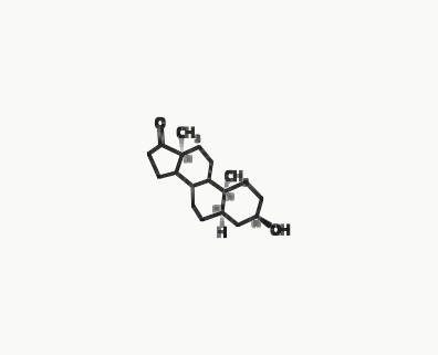 C[C@]12CCC3C(CC[C@@H]4C[C@H](O)CC[C@]34C)C1CCC2=O